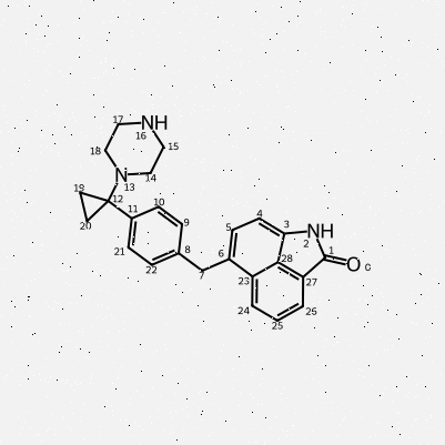 O=C1Nc2ccc(Cc3ccc(C4(N5CCNCC5)CC4)cc3)c3cccc1c23